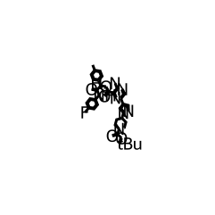 Cc1ccc(C(OC(=O)c2nc(-c3cnn(C4CCN(C(=O)OC(C)(C)C)CC4)c3)cnc2N)C(=O)Nc2ccc(F)cc2)cc1